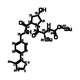 Cc1ncsc1-c1ccc(CNC(=O)C2C[C@@H](O)CN2C(=O)[C@@H](NC(=O)OC(C)(C)C)C(C)(C)C)cc1